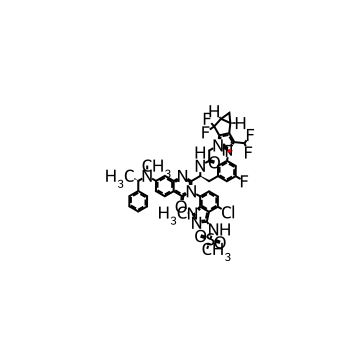 C[C@@H](c1ccccc1)N(C)c1ccc2c(=O)n(-c3ccc(Cl)c4c(NS(C)(=O)=O)nn(C)c34)c([C@H](Cc3cc(F)cc(F)c3)NC(=O)Cn3nc(C(F)F)c4c3C(F)(F)[C@@H]3C[C@H]43)nc2c1